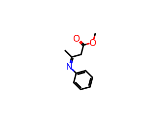 COC(=O)CC(C)=Nc1ccccc1